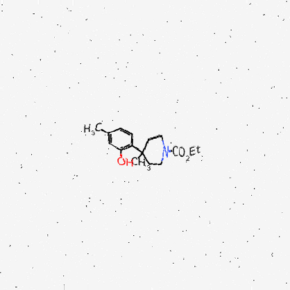 CCOC(=O)N1CCC(C)(c2ccc(C)cc2O)CC1